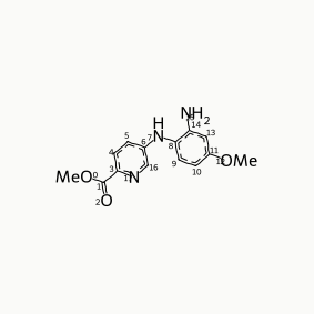 COC(=O)c1ccc(Nc2ccc(OC)cc2N)cn1